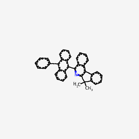 CC1(C)c2ccccc2-c2c1nc(-c1c3ccccc3c(-c3ccccc3)c3ccccc13)c1ccccc21